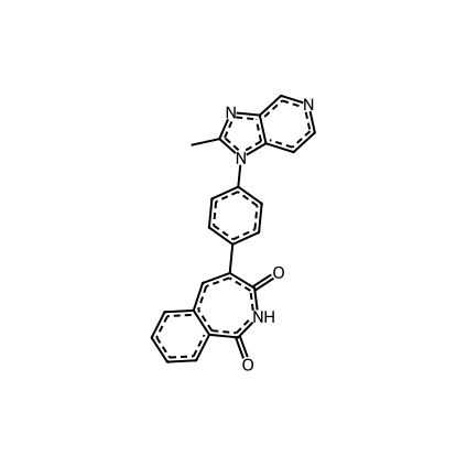 Cc1nc2cnccc2n1-c1ccc(-c2cc3ccccc3c(=O)[nH]c2=O)cc1